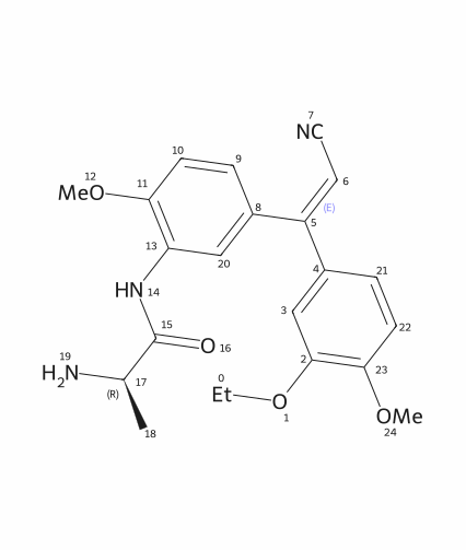 CCOc1cc(/C(=C/C#N)c2ccc(OC)c(NC(=O)[C@@H](C)N)c2)ccc1OC